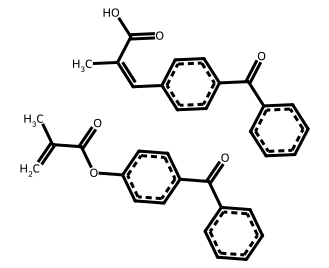 C=C(C)C(=O)Oc1ccc(C(=O)c2ccccc2)cc1.CC(=Cc1ccc(C(=O)c2ccccc2)cc1)C(=O)O